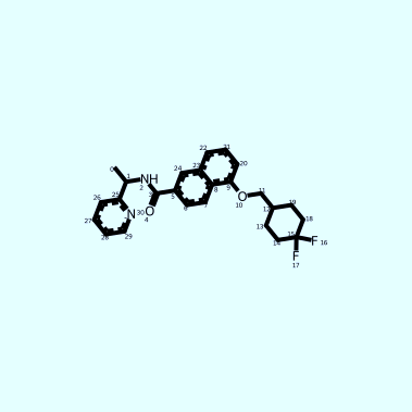 CC(NC(=O)c1ccc2c(OCC3CCC(F)(F)CC3)cccc2c1)c1ccccn1